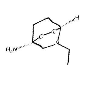 CCN1C[C@]2(N)CC[C@H]1CC2